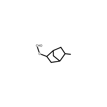 CC1CC2CC1CC2OC=O